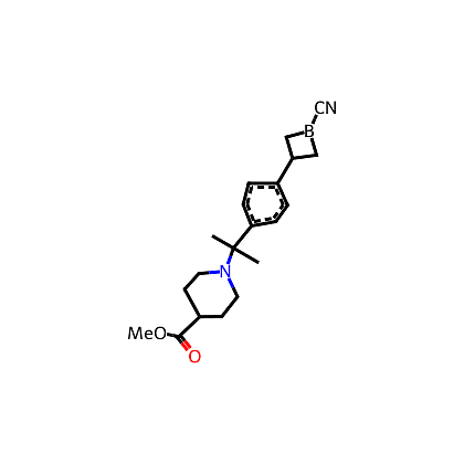 COC(=O)C1CCN(C(C)(C)c2ccc(C3CB(C#N)C3)cc2)CC1